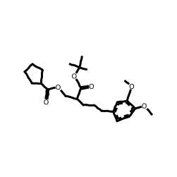 COc1ccc(CCCC(COC(=O)C2CCCC2)C(=O)OC(C)(C)C)cc1OC